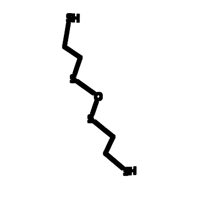 SCCSOSCCS